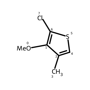 COc1c(C)csc1Cl